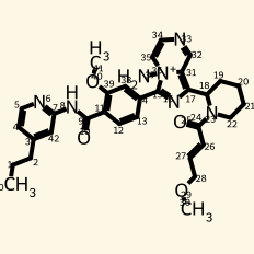 CCCc1ccnc(NC(=O)c2ccc(C3=NC(C4CCCCN4C(=O)/C=C/COC)=C4C=NC=C[N+]34N)cc2OC)c1